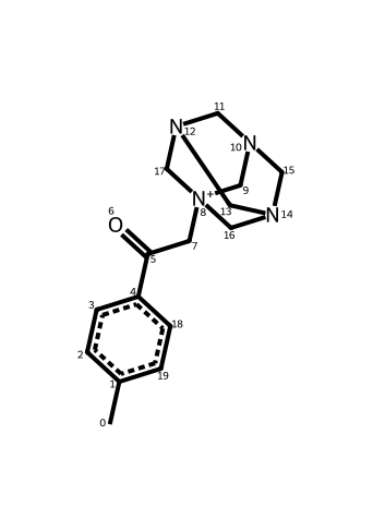 Cc1ccc(C(=O)C[N+]23CN4CN(CN(C4)C2)C3)cc1